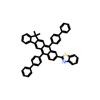 CC1(C)c2ccccc2-c2cc3c(-c4ccc(-c5ccccc5)cc4)c4ccc(-c5nc6ccccc6s5)cc4c(-c4ccc(-c5ccccc5)cc4)c3cc21